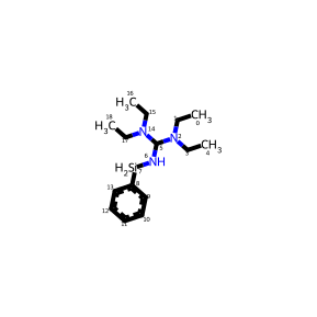 CCN(CC)C(N[SiH2]c1ccccc1)N(CC)CC